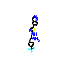 NC(CNc1ncc(-c2ccc3nnccc3c2)s1)Cc1ccc(C(F)(F)F)cc1